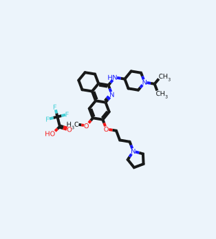 COc1cc2c3c(c(NC4CCN(C(C)C)CC4)nc2cc1OCCCN1CCCC1)CCCC3.O=C(O)C(F)(F)F